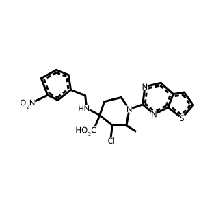 CC1C(Cl)C(NCc2cccc([N+](=O)[O-])c2)(C(=O)O)CCN1c1ncc2ccsc2n1